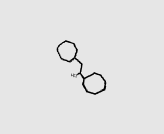 OC(CC1CCCCCCC1)C1CCCCCCC1